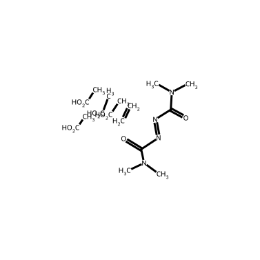 C=C.CC(=O)O.CC(=O)O.CC(=O)O.CC(=O)O.CN(C)C(=O)N=NC(=O)N(C)C